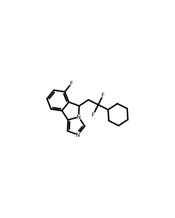 Fc1cccc2c1C(CC(F)(F)C1CCCCC1)n1cncc1-2